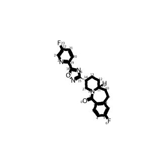 O=C1c2ccc(F)cc2CC[C@H]2CC[C@@H](c3noc(-c4ccc(F)cn4)n3)CN12